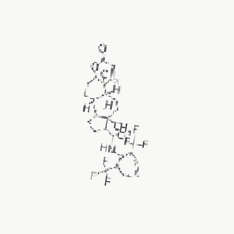 C[C@]12C=CC(=O)OC1CC[C@@H]1[C@H]2CC[C@]2(C)C(C(=O)Nc3c(C(F)(F)F)cccc3C(F)(F)F)CC[C@@H]12